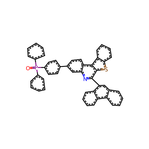 O=P(c1ccccc1)(c1ccccc1)c1ccc(-c2ccc3c(c2)nc(-c2cc4ccccc4c4ccccc24)c2sc4ccccc4c23)cc1